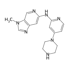 Cn1cnc2cc(Nc3cc(N4CCNCC4)ccn3)ncc21